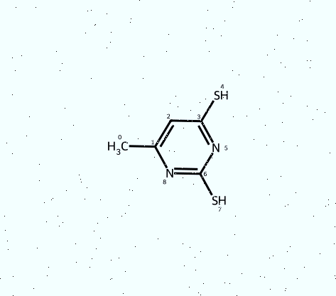 Cc1cc(S)nc(S)n1